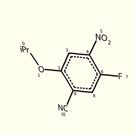 CC(C)Oc1cc([N+](=O)[O-])c(F)cc1C#N